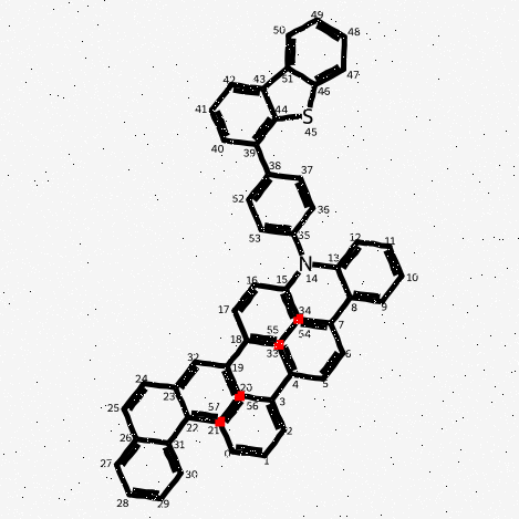 c1ccc(-c2ccc(-c3ccccc3N(c3ccc(-c4ccc5c(ccc6ccccc65)c4)cc3)c3ccc(-c4cccc5c4sc4ccccc45)cc3)cc2)cc1